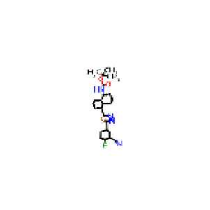 CC(C)(C)OC(=O)N[C@@H]1CCCc2c(-c3nnc(-c4ccc(F)c(C#N)c4)s3)cccc21